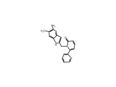 Cc1cc2[nH]c(Cn3c(-c4ccccn4)cccc3=O)cc2nc1N